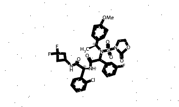 COc1ccc([C@H](C)N(C(C(=O)N[C@H](C(=O)NC2CC(F)(F)C2)c2ccccc2Cl)c2cccc(F)c2)S(=O)(=O)N2CCOC2=O)cc1